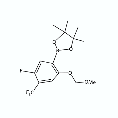 COCOc1cc(C(F)(F)F)c(F)cc1B1OC(C)(C)C(C)(C)O1